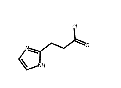 O=C(Cl)CCc1ncc[nH]1